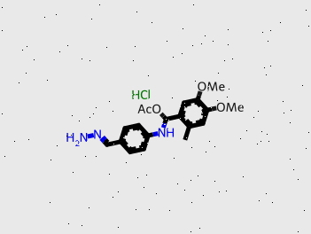 COc1cc(C)c(C(Nc2ccc(C=NN)cc2)OC(C)=O)cc1OC.Cl